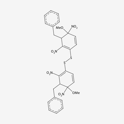 COC1([N+](=O)[O-])C=CC(SSC2=C([N+](=O)[O-])C(Cc3ccccc3)C(OC)([N+](=O)[O-])C=C2)=C([N+](=O)[O-])C1Cc1ccccc1